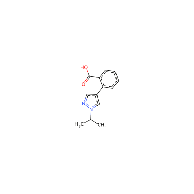 CC(C)n1cc(-c2ccccc2C(=O)O)cn1